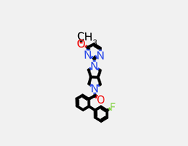 COc1ccnc(N2CC3CN(C(=O)C4=CC=CCC4c4cccc(F)c4)CC3C2)n1